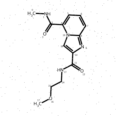 CNC(=O)c1cccc2nc(C(=O)NCCOC)cn12